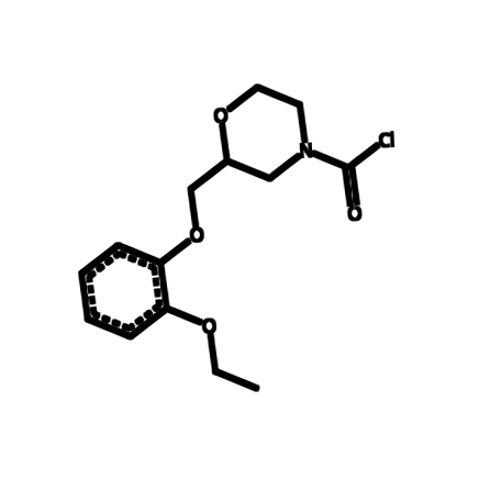 CCOc1ccccc1OCC1CN(C(=O)Cl)CCO1